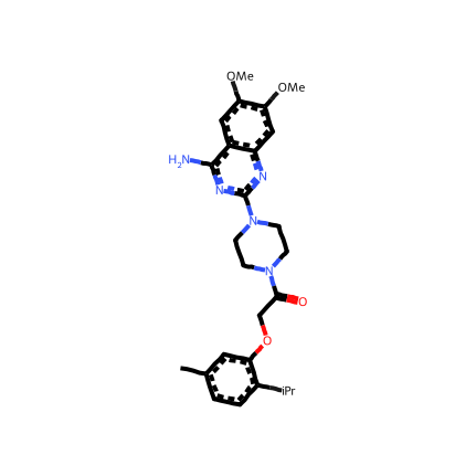 COc1cc2nc(N3CCN(C(=O)COc4cc(C)ccc4C(C)C)CC3)nc(N)c2cc1OC